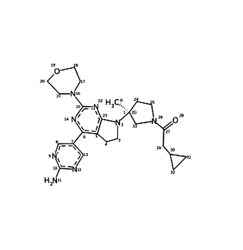 C[C@]1(N2CCc3c(-c4cnc(N)nc4)nc(N4CCOCC4)nc32)CCN(C(=O)CC2CC2)C1